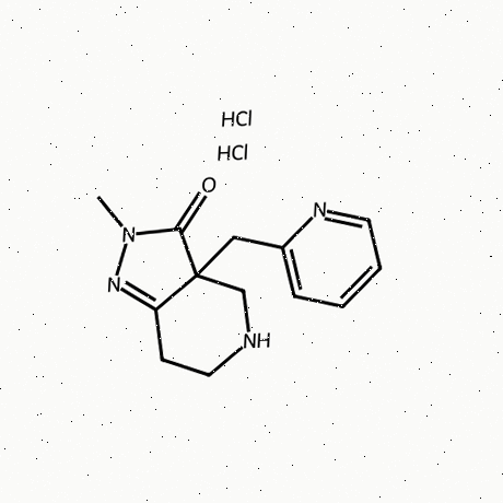 CN1N=C2CCNCC2(Cc2ccccn2)C1=O.Cl.Cl